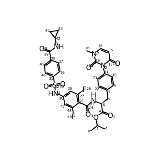 CC(C)OC(=O)[C@H](Cc1ccc(-n2c(=O)ccn(C)c2=O)cc1)NC(=O)c1c(F)cc(NS(=O)(=O)c2ccc(C(=O)NC3CC3)cc2)cc1F